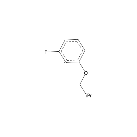 CC(C)COc1[c]c(F)ccc1